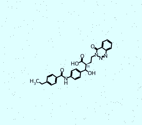 CCc1ccc(C(=O)Nc2ccc(C(O)[C@H](CCn3nnc4ccccc4c3=O)C(=O)O)cc2)cc1